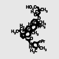 C=C(C)[C@@H]1CC[C@]2(CC(=O)NC3CC(C)N(C)C(CCC)C3)CC[C@]3(C)[C@H](CC[C@@H]4[C@@]5(C)CC[C@H](OC(=O)CC(C)(C)CC(=O)O)C(C)(C)[C@@H]5CC[C@]43C)[C@@H]12